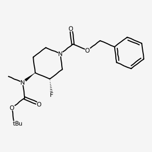 CN(C(=O)OC(C)(C)C)[C@H]1CCN(C(=O)OCc2ccccc2)C[C@@H]1F